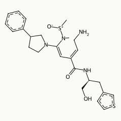 CN(C(=C/C(=C\CN)C(=O)N[C@H](CO)Cc1ccsc1)N1CCC(c2ccccc2)C1)[S+](C)[O-]